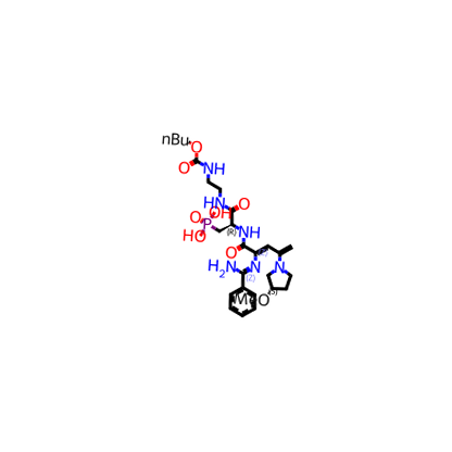 C=C(/C=C(\N=C(/N)c1ccccc1)C(=O)N[C@@H](CP(=O)(O)O)C(=O)NCCNC(=O)OCCCC)N1CC[C@H](OC)C1